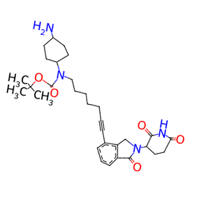 CC(C)(C)OC(=O)N(CCCCCC#Cc1cccc2c1CN(C1CCC(=O)NC1=O)C2=O)C1CCC(N)CC1